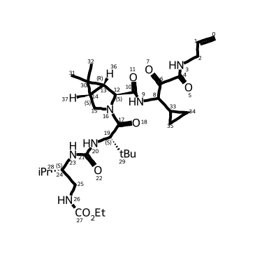 C=CCNC(=O)C(=O)C(NC(=O)[C@@H]1[C@@H]2[C@H](CN1C(=O)[C@@H](NC(=O)N[C@H](CNC(=O)OCC)C(C)C)C(C)(C)C)C2(C)C)C1CC1